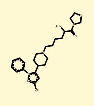 Cc1cc(C2CCN(CCCCC(N)C(=O)N3CCSC3)CC2)n(-c2ccccc2)n1